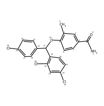 Cc1cc(C(N)=O)ccc1OC(c1ccc(Cl)cc1)c1ccc(Cl)cc1Cl